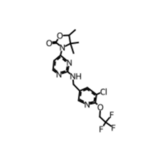 CC1OC(=O)N(c2ccnc(NCc3cnc(OCC(F)(F)F)c(Cl)c3)n2)C1(C)C